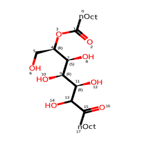 CCCCCCCCC(=O)O[C@H](CO)[C@@H](O)[C@H](O)[C@@H](O)C(O)C(=O)CCCCCCCC